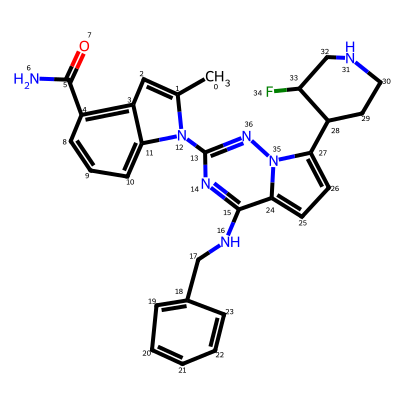 Cc1cc2c(C(N)=O)cccc2n1-c1nc(NCc2ccccc2)c2ccc(C3CCNCC3F)n2n1